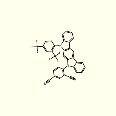 N#Cc1ccc(-n2c3ccccc3c3cc4c5ccccc5n(-c5ccc(C(F)(F)F)cc5C(F)(F)F)c4cc32)c(C#N)c1